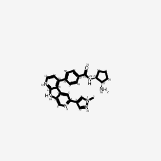 Cn1cc(-c2cc3c(cn2)[nH]c2nccc(-c4ccc(C(=O)N[C@H]5CCC[C@@H]5N)cc4)c23)cn1